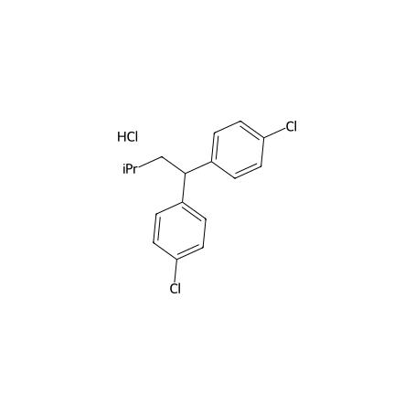 CC(C)CC(c1ccc(Cl)cc1)c1ccc(Cl)cc1.Cl